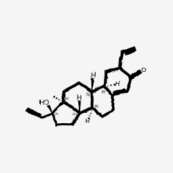 C=CC1C[C@H]2C(=CC1=O)CC[C@@H]1[C@@H]2CC[C@@]2(C)[C@H]1CC[C@]2(O)C=C